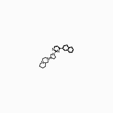 c1ccc2cc(-c3ccnc(N4CC[C@@H](N5CCN6CCCCC6C5)C4)n3)ccc2c1